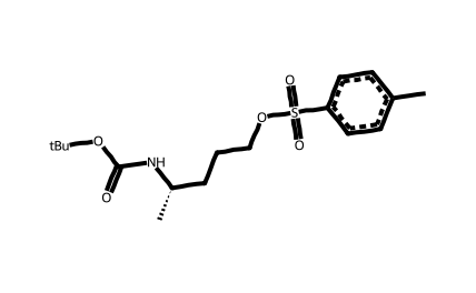 Cc1ccc(S(=O)(=O)OCCC[C@H](C)NC(=O)OC(C)(C)C)cc1